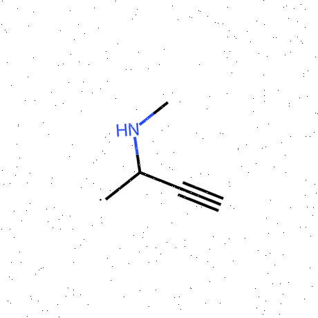 C#CC([CH2])NC